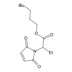 CCC(C)CCCOC(=O)C(CC)N1C(=O)C=CC1=O